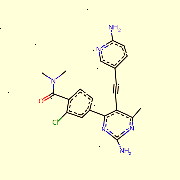 Cc1nc(N)nc(-c2ccc(C(=O)N(C)C)c(Cl)c2)c1C#Cc1ccc(N)nc1